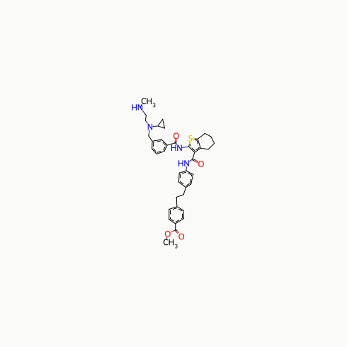 CNCCN(Cc1cccc(C(=O)Nc2sc3c(c2C(=O)Nc2ccc(CCc4ccc(C(=O)OC)cc4)cc2)CCCC3)c1)C1CC1